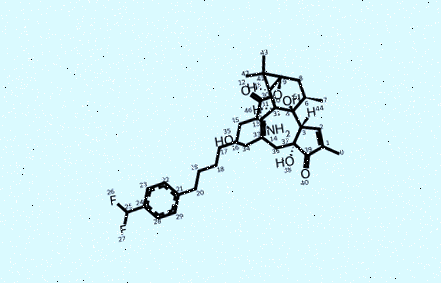 CC1=C[C@H]2[C@@]3(O)[C@H](C)C[C@]4(OC(=O)[C@@H](N)CCCCCCc5ccc(C(F)F)cc5)[C@@H]([C@@H]3C=C(CO)C[C@]2(O)C1=O)C4(C)C